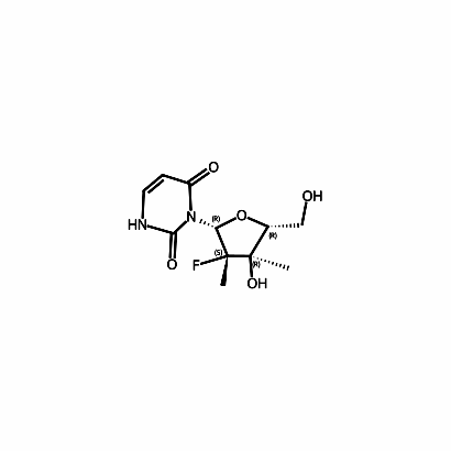 C[C@@]1(O)[C@@H](CO)O[C@@H](n2c(=O)cc[nH]c2=O)[C@@]1(C)F